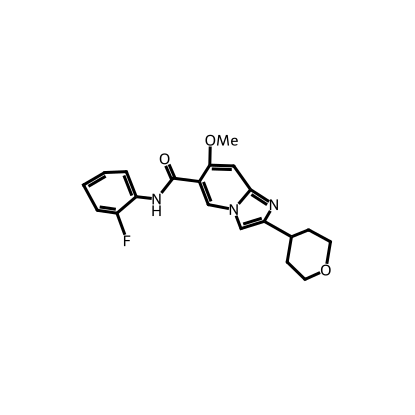 COc1cc2nc(C3CCOCC3)cn2cc1C(=O)Nc1ccccc1F